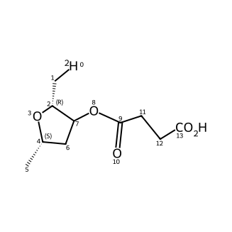 [2H]C[C@H]1O[C@@H](C)CC1OC(=O)CCC(=O)O